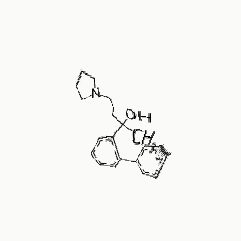 CC(O)(CCN1CCCC1)c1ccccc1-c1ccccc1